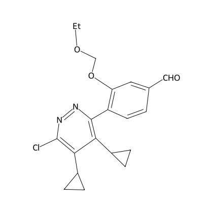 CCOCOc1cc(C=O)ccc1-c1nnc(Cl)c(C2CC2)c1C1CC1